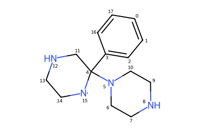 c1ccc(C2(N3CCNCC3)CNCC[N]2)cc1